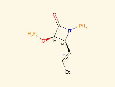 CC/C=C/[C@H]1[C@@H](OP)C(=O)N1P